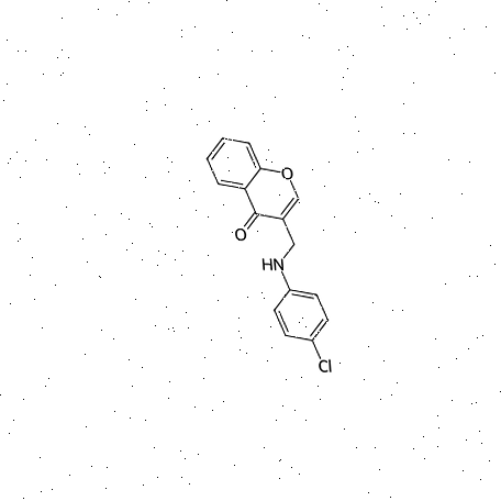 O=c1c(CNc2ccc(Cl)cc2)coc2ccccc12